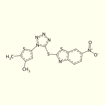 Cc1cc(-n2nnnc2Sc2nc3ccc([N+](=O)[O-])cc3s2)sc1C